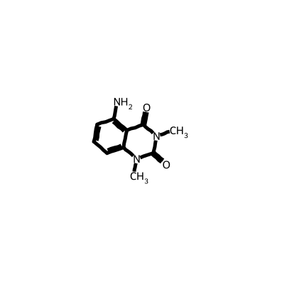 Cn1c(=O)c2c(N)cccc2n(C)c1=O